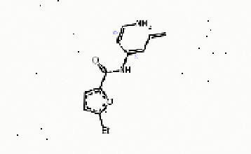 C=C/C=C(\C=C/N)NC(=O)c1ccc(CC)o1